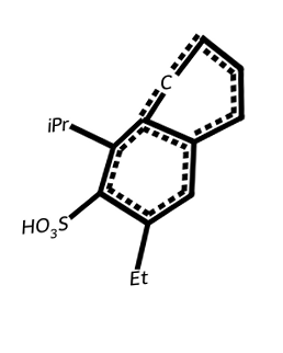 CCc1cc2ccccc2c(C(C)C)c1S(=O)(=O)O